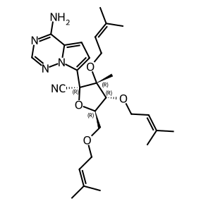 CC(C)=CCOC[C@H]1O[C@@](C#N)(c2ccc3c(N)ncnn23)[C@](C)(OCC=C(C)C)[C@@H]1OCC=C(C)C